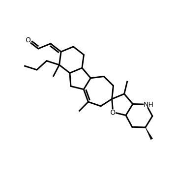 CCCC1(C)/C(=C\C=O)CCC2C3CCC4(CC(C)=C3CC21)OC1C[C@H](C)CNC1C4C